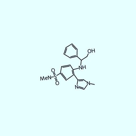 CNS(=O)(=O)c1ccc(NC(CO)c2ccccc2)c(-c2cn(C)cn2)c1